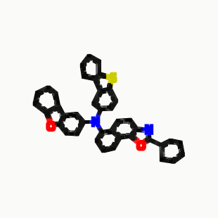 c1ccc(-c2nc3ccc4c(N(c5ccc6oc7ccccc7c6c5)c5ccc6sc7ccccc7c6c5)cccc4c3o2)cc1